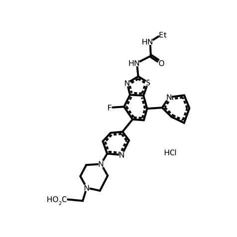 CCNC(=O)Nc1nc2c(F)c(-c3ccc(N4CCN(CC(=O)O)CC4)nc3)cc(-c3ccccn3)c2s1.Cl